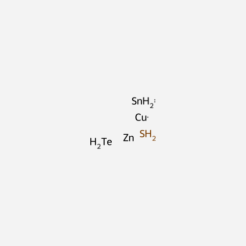 S.[Cu].[SnH2].[TeH2].[Zn]